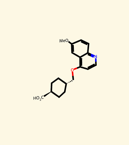 COc1ccc2nccc(OC[C@H]3CC[C@H](C(=O)O)CC3)c2c1